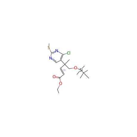 CCOC(=O)/C=C/C(C)(CO[Si](C)(C)C(C)(C)C)c1cnc(SC)nc1Cl